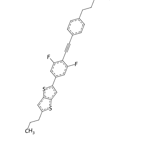 CCCCc1ccc(C#Cc2c(F)cc(-c3cc4sc(CCC)cc4s3)cc2F)cc1